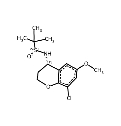 COc1cc(Cl)c2c(c1)[C@@H](N[S@+]([O-])C(C)(C)C)CCO2